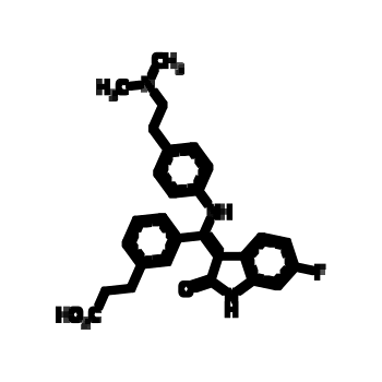 CN(C)CCc1ccc(NC(=C2C(=O)Nc3cc(F)ccc32)c2cccc(CCC(=O)O)c2)cc1